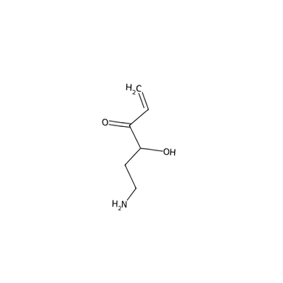 C=CC(=O)C(O)CCN